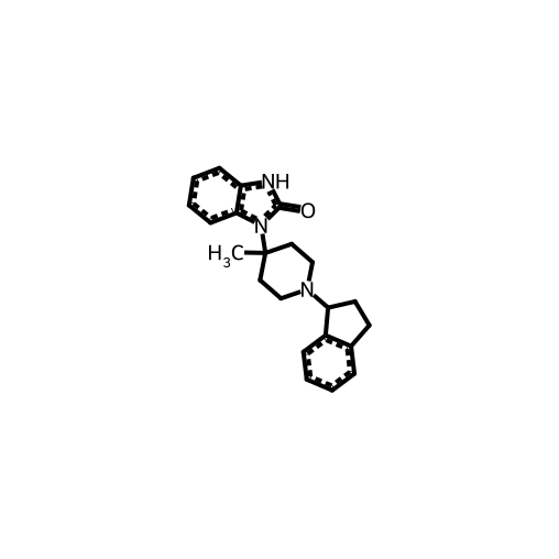 CC1(n2c(=O)[nH]c3ccccc32)CCN(C2CCc3ccccc32)CC1